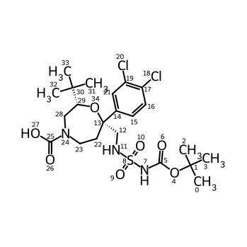 CC(C)(C)OC(=O)NS(=O)(=O)NC[C@]1(c2ccc(Cl)c(Cl)c2)CCN(C(=O)O)C[C@H](C(C)(C)C)O1